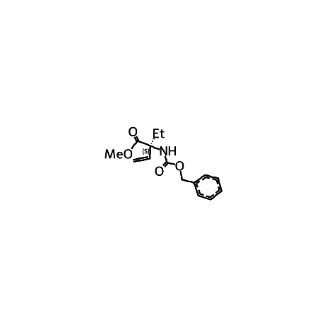 C=C[C@](CC)(NC(=O)OCc1ccccc1)C(=O)OC